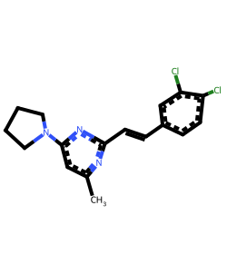 Cc1cc(N2CCCC2)nc(C=Cc2ccc(Cl)c(Cl)c2)n1